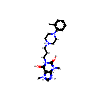 Cc1ccccc1N1CCN(CCCn2c(=O)c3c(ncn3C)n(C)c2=O)CC1